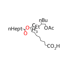 CCCCC(CC)COC(C)=O.CCCCCCCC(=O)OC(C)CCCCCCCC(=O)O